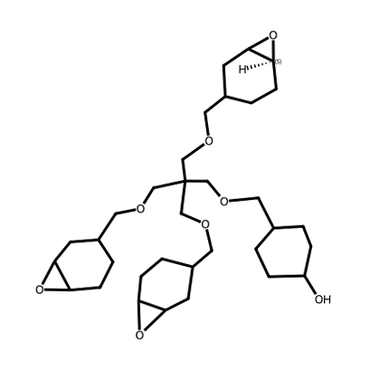 OC1CCC(COCC(COCC2CCC3OC3C2)(COCC2CCC3OC3C2)COCC2CC[C@@H]3OC3C2)CC1